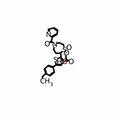 CCc1ccc(-c2ccc([C@@]3(CC(=O)O)CCN(C(=O)c4ccccn4)CCS3(=O)=O)s2)cc1